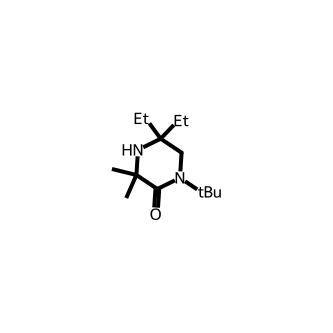 CCC1(CC)CN(C(C)(C)C)C(=O)C(C)(C)N1